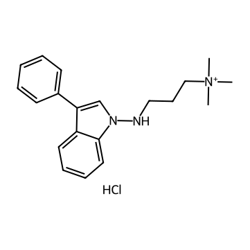 C[N+](C)(C)CCCNn1cc(-c2ccccc2)c2ccccc21.Cl